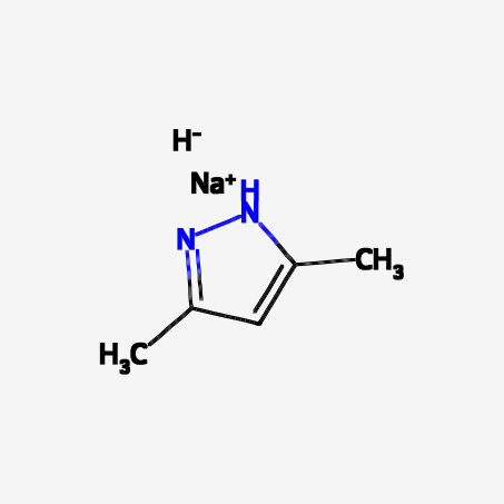 Cc1cc(C)[nH]n1.[H-].[Na+]